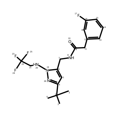 CC(C)(C)c1cc(CNC(=O)Cc2cccc(F)c2)n(NCC(F)(F)F)n1